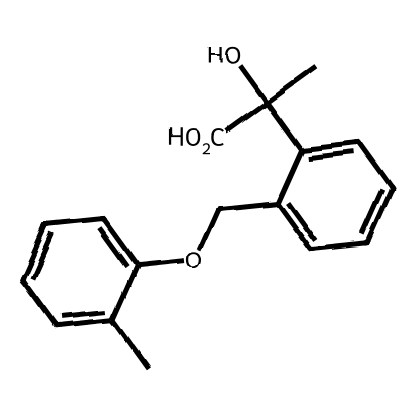 Cc1ccccc1OCc1ccccc1C(C)(O)C(=O)O